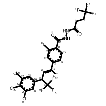 O=C(CCC(F)(F)F)NNC(=O)c1ccc(C(F)=CC(c2cc(Cl)c(Cl)c(Cl)c2)C(F)(F)F)cc1I